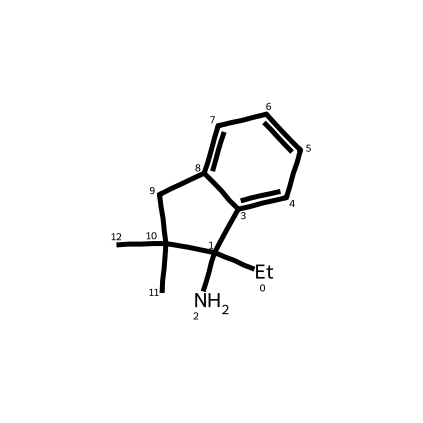 CCC1(N)c2ccccc2CC1(C)C